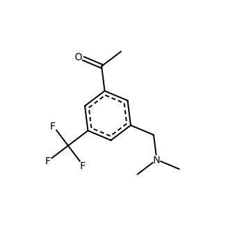 CC(=O)c1cc(CN(C)C)cc(C(F)(F)F)c1